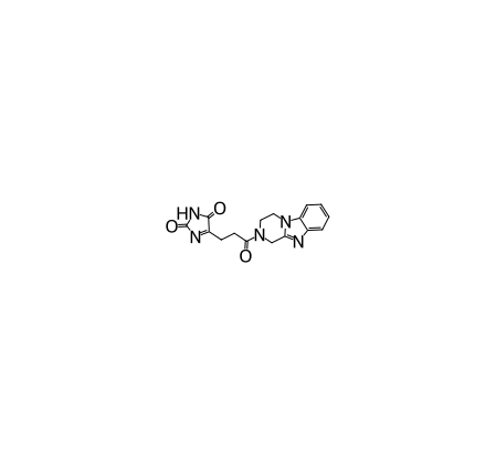 O=C1N=C(CCC(=O)N2CCn3c(nc4ccccc43)C2)C(=O)N1